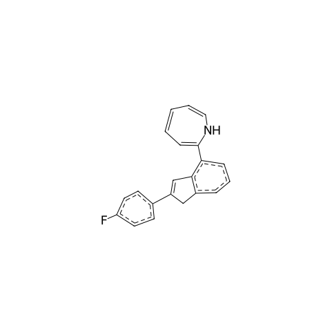 Fc1ccc(C2=Cc3c(cccc3C3=CC=CC=CN3)C2)cc1